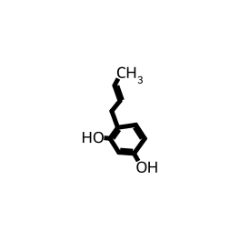 CC=CCc1ccc(O)cc1O